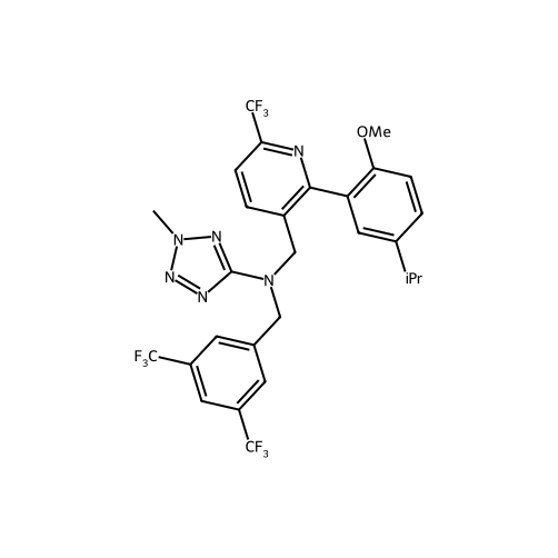 COc1ccc(C(C)C)cc1-c1nc(C(F)(F)F)ccc1CN(Cc1cc(C(F)(F)F)cc(C(F)(F)F)c1)c1nnn(C)n1